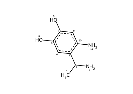 CC(N)c1cc(O)c(O)cc1N